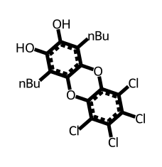 CCCCc1c(O)c(O)c(CCCC)c2c1Oc1c(Cl)c(Cl)c(Cl)c(Cl)c1O2